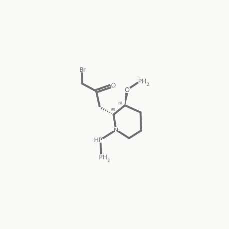 O=C(CBr)C[C@@H]1[C@@H](OP)CCCN1PP